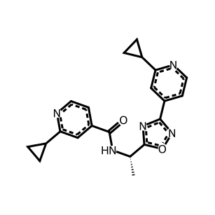 C[C@H](NC(=O)c1ccnc(C2CC2)c1)c1nc(-c2ccnc(C3CC3)c2)no1